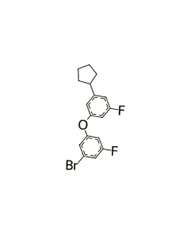 Fc1cc(Br)cc(Oc2cc(F)cc(C3CCCC3)c2)c1